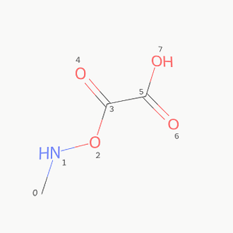 CNOC(=O)C(=O)O